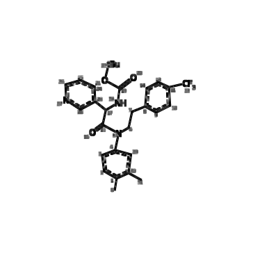 Cc1ccc(N(CCc2ccc(C(F)(F)F)cc2)C(=O)C(NC(=O)OC(C)(C)C)c2cccnc2)cc1C